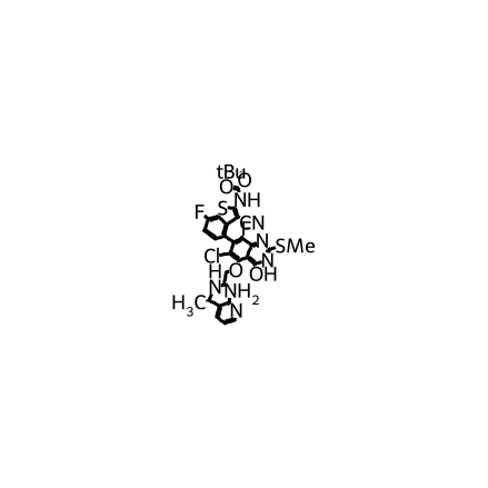 CSc1nc(O)c2c(OCCN[C@H](C)c3cccnc3N)c(Cl)c(-c3ccc(F)c4sc(NC(=O)OC(C)(C)C)c(C#N)c34)c(F)c2n1